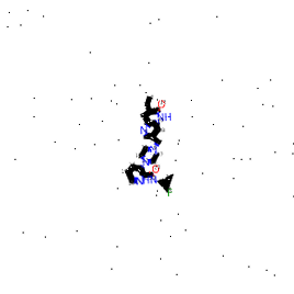 CCc1cc2ncc(CN3CCN(c4cccnc4C(=O)N[C@@H]4C[C@@H]4F)CC3)cc2[nH]c1=O